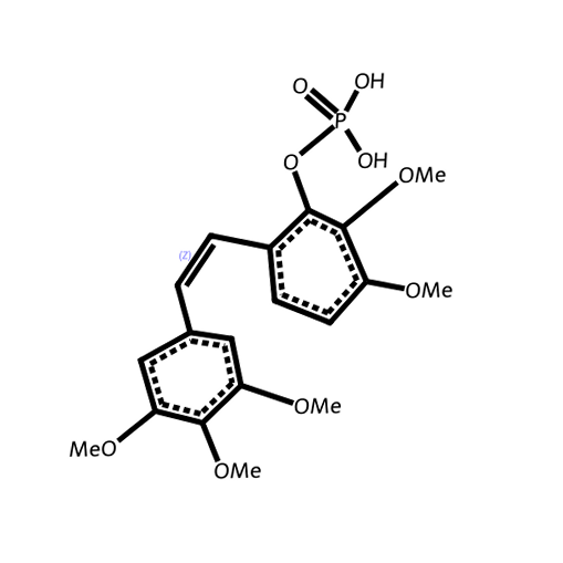 COc1cc(/C=C\c2ccc(OC)c(OC)c2OP(=O)(O)O)cc(OC)c1OC